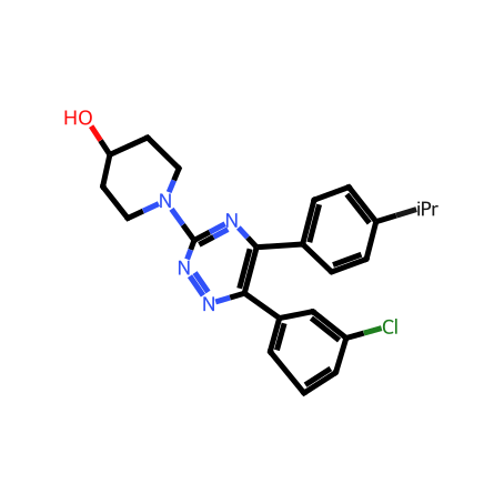 CC(C)c1ccc(-c2nc(N3CCC(O)CC3)nnc2-c2cccc(Cl)c2)cc1